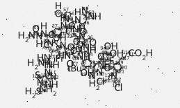 CC(C)C[C@H](NC(=O)[C@@H](COC(C)(C)C)NC(=O)[C@H](Cc1ccc(O)cc1)NC(=O)[C@H](CO)NC(=O)[C@H](Cc1c[nH]c2ccccc12)NC(=O)[C@H](Cc1cnc[nH]1)NC(=O)[C@@H]1CCC(O)=N1)C(=O)N[C@@H](CCCNC(=N)N)C(=O)N1CCC[C@H]1C(=O)NNC(N)=O.Nc1ccn([C@@H]2O[C@H](CO)[C@@H](O)C2(F)F)c(=O)n1.Nc1nc(=S)c2[nH]cnc2[nH]1.O=C(O)CCCc1ccc(N(CCCl)CCCl)cc1.S